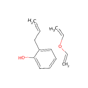 C=CCc1ccccc1O.C=COC=C